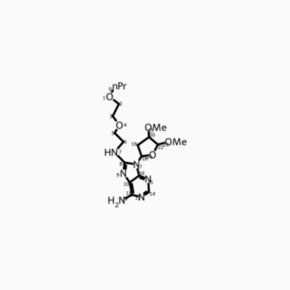 CCCOCCOCCNc1nc2c(N)ncnc2n1C1CC(OC)C(OC)O1